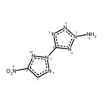 Nn1nnc(-n2ncc([N+](=O)[O-])n2)n1